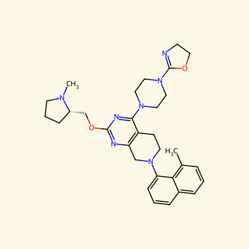 Cc1cccc2cccc(N3CCc4c(nc(OC[C@@H]5CCCN5C)nc4N4CCN(C5=NCCO5)CC4)C3)c12